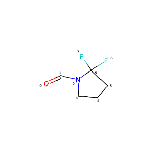 O=[C]N1CCCC1(F)F